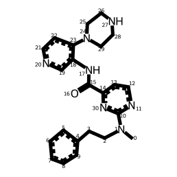 CN(CCc1ccccc1)c1nccc(C(=O)Nc2cnccc2N2CCNCC2)n1